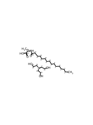 CCCCCCCCCCCCCCCC(=O)N[C@@H](C)C(=O)O.OCCN(CCO)CCO